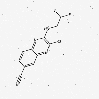 N#Cc1ccc2nc(NCC(F)F)c(Cl)nc2c1